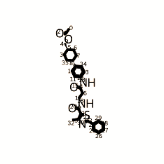 CC(=O)OC[C@H]1CC[C@H](c2ccc(NC(=O)CCNC(=O)c3sc(-c4ccccc4)nc3C)cc2)CC1